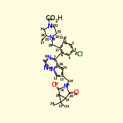 Cc1cc(Cl)cc(-c2ncnn3cc(CN4C(=O)C5C(C4=O)C5(C)C)cc23)c1CN1[C@@H](C)CN(C(=O)O)C[C@@H]1C